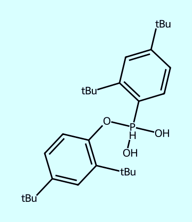 CC(C)(C)c1ccc(O[PH](O)(O)c2ccc(C(C)(C)C)cc2C(C)(C)C)c(C(C)(C)C)c1